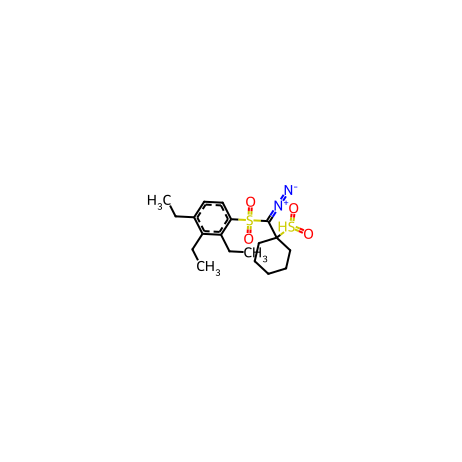 CCc1ccc(S(=O)(=O)C(=[N+]=[N-])C2([SH](=O)=O)CCCCC2)c(CC)c1CC